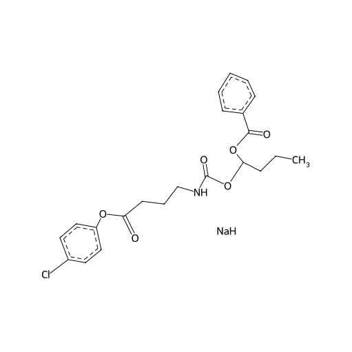 CCCC(OC(=O)NCCCC(=O)Oc1ccc(Cl)cc1)OC(=O)c1ccccc1.[NaH]